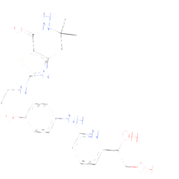 CC1(C)Cc2nc(N3CCOc4ccc(Nc5cccc(C(O)CO)n5)cc43)sc2C(=O)N1